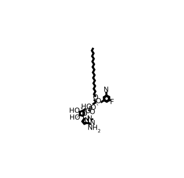 CCCCCCCCCCCCCCCCCCOC[C@](C)(COP(=O)(O)OC[C@@]1(C)O[C@@H](c2ccc3c(N)ncnn23)[C@H](O)[C@@H]1O)OCc1cc(F)cc(C#N)c1